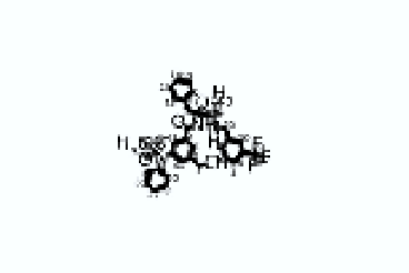 CCc1cc(C(=O)N[C@](O)(Cc2ccccc2)[C@@H](C)NCc2cccc(C(F)(F)F)c2)cc(N(c2ccccc2)S(C)(=O)=O)c1